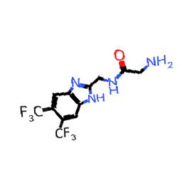 NCC(=O)NCc1nc2cc(C(F)(F)F)c(C(F)(F)F)cc2[nH]1